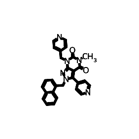 Cn1c(=O)c2c(-c3ccncc3)n(Cc3cccc4ccccc34)nc2n(Cc2ccncc2)c1=O